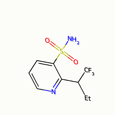 CCC(c1ncccc1S(N)(=O)=O)C(F)(F)F